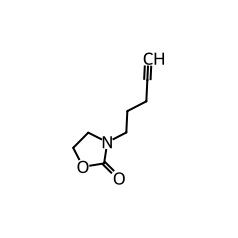 C#CCCCN1CCOC1=O